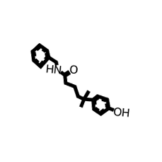 CC(C)(CCCC(=O)NCc1ccccc1)c1ccc(O)cc1